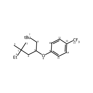 CCC(C)(C)CC(CC(C)(C)C)Oc1ccc(C(F)(F)F)cc1